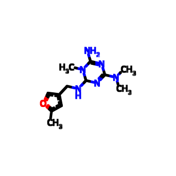 Cc1cc(CNC2N=C(N(C)C)N=C(N)N2C)co1